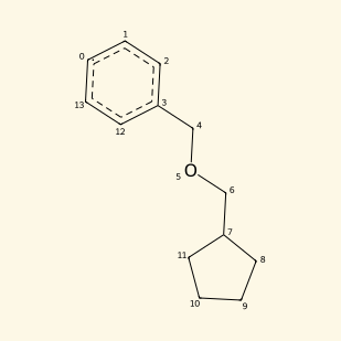 [c]1ccc(COCC2CCCC2)cc1